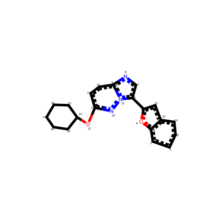 c1ccc2oc(-c3cnc4ccc(OC5CCCCC5)nn34)cc2c1